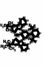 CC(C)(C)c1ccc2c(c1)c1ccccc1n2-c1cc(-c2c(C(F)(F)F)cccc2C(F)(F)F)cc(-n2c3ccccc3c3cc(C(C)(C)C)ccc32)c1C#N